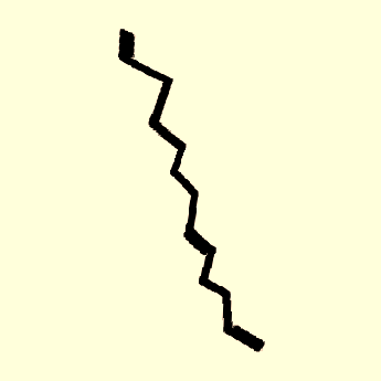 C=CCCC=CCCCCCC=C